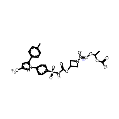 CCC(=O)OC(C)O/N=[N+](\[O-])N1CC(OC(=O)NS(=O)(=O)c2ccc(-n3nc(C(F)(F)F)cc3-c3ccc(C)cc3)cc2)C1